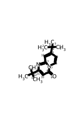 CC(C)(C)c1ccn2c(=O)cc(C(C)(C)C)nc2c1